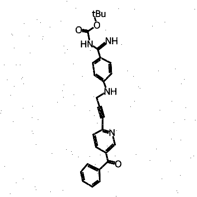 CC(C)(C)OC(=O)NC(=N)c1ccc(NCC#Cc2ccc(C(=O)c3ccccc3)cn2)cc1